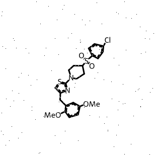 COc1ccc(OC)c(Cc2csc(N3CCC(S(=O)(=O)c4ccc(Cl)cc4)CC3)n2)c1